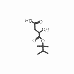 CC(C)C(C)(C)OC(=O)C(O)CC(=O)O